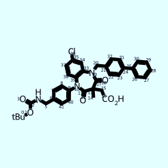 CC(C)(C)OC(=O)NCc1ccc(N2C(=O)C(C)(CC(=O)O)C(=O)N(Cc3ccc(-c4ccccc4)cc3)c3cc(Cl)ccc32)cc1